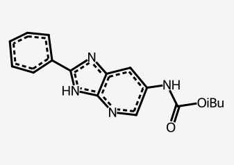 CC(C)COC(=O)Nc1cnc2[nH]c(-c3ccccc3)nc2c1